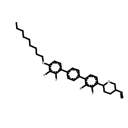 C=CC1CCC(c2ccc(-c3ccc(-c4ccc(OCCCCCCCCC)c(F)c4F)cc3)c(F)c2F)OC1